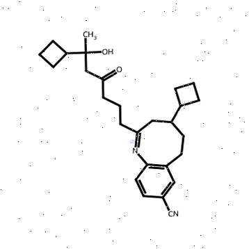 CC(O)(CC(=O)CCC/C1=N/c2ccc(C#N)cc2CCC(C2CCC2)C1)C1CCC1